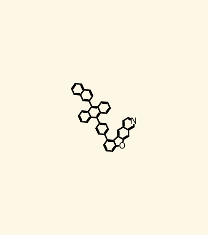 c1ccc2cc(-c3c4ccccc4c(-c4ccc(-c5cccc6oc7cc8cnccc8cc7c56)cc4)c4ccccc34)ccc2c1